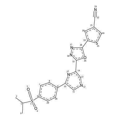 CC(C)S(=O)(=O)c1ccc(-c2cncc(-c3nnc(-c4cc(C#N)cs4)o3)n2)cc1